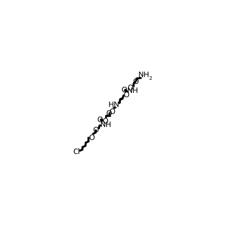 NCCOCCONC(=O)OC/C=C/CNCCOOCCOC(=O)NCCOCCOCCCCCCCl